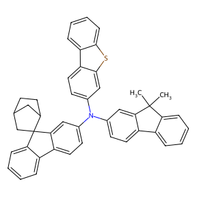 CC1(C)c2ccccc2-c2ccc(N(c3ccc4c(c3)C3(CC5CCC3C5)c3ccccc3-4)c3ccc4c(c3)sc3ccccc34)cc21